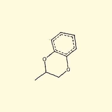 CC1COc2ccc[c]c2O1